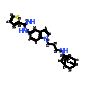 N=C(Nc1ccc2c(ccn2CCCNC23CC4CC(CC2C4)C3)c1)c1cccs1